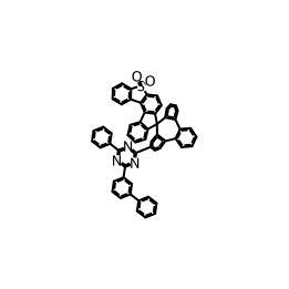 O=S1(=O)c2ccccc2-c2c1ccc1c2-c2ccccc2C12c1ccccc1-c1ccccc1-c1ccc(-c3nc(-c4ccccc4)nc(-c4cccc(-c5ccccc5)c4)n3)cc12